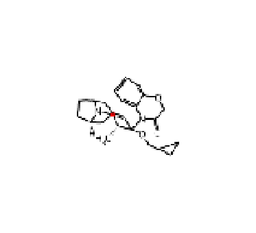 C[C@@H](CN1C(=O)COc2ccccc21)CN1C2CC[C@H]1CC(=CCOCC1CC1)C2